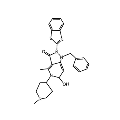 CC1=c2c(n(Cc3ccccc3)n(-c3nc4ccccc4s3)c2=O)=CC(O)N1C1CCN(C)CC1